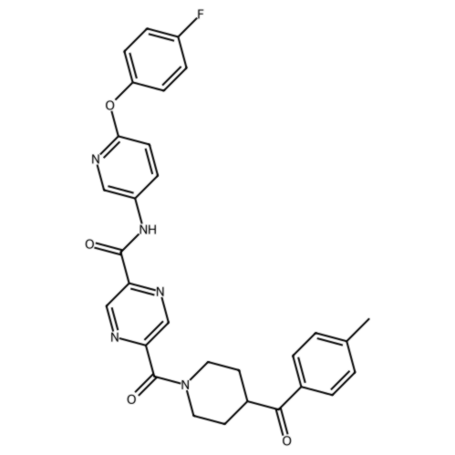 Cc1ccc(C(=O)C2CCN(C(=O)c3cnc(C(=O)Nc4ccc(Oc5ccc(F)cc5)nc4)cn3)CC2)cc1